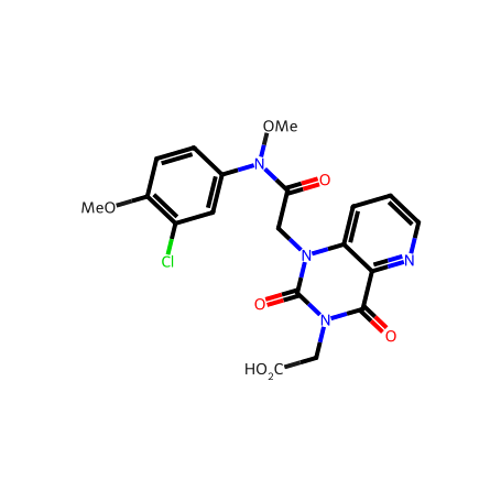 COc1ccc(N(OC)C(=O)Cn2c(=O)n(CC(=O)O)c(=O)c3ncccc32)cc1Cl